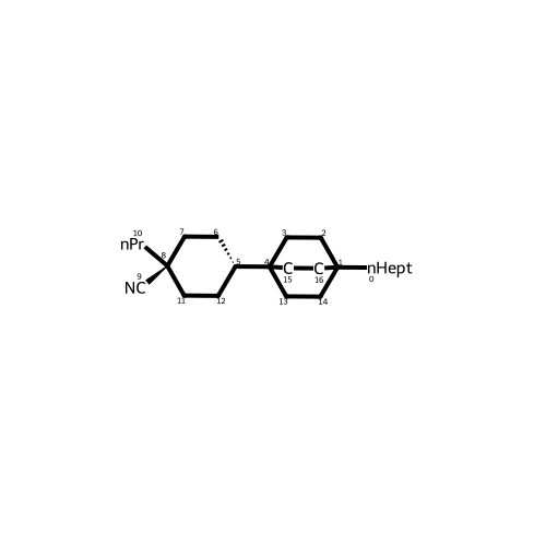 CCCCCCCC12CCC([C@H]3CC[C@@](C#N)(CCC)CC3)(CC1)CC2